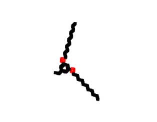 CCCCCCCCCCCOc1cc(CC)cc(OCCCCCCCCCCC)c1